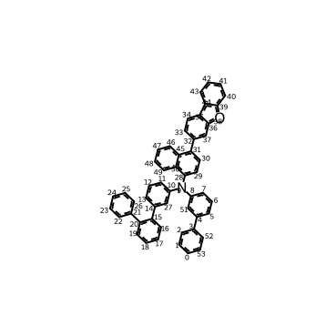 c1ccc(-c2cccc(N(c3cccc(-c4ccccc4-c4ccccc4)c3)c3ccc(-c4ccc5c(c4)oc4ccccc45)c4ccccc34)c2)cc1